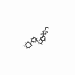 CCN1CC(C)(c2cc3c(cn2)cnn3-c2cccc(N3CCCNCC3)n2)C=N1